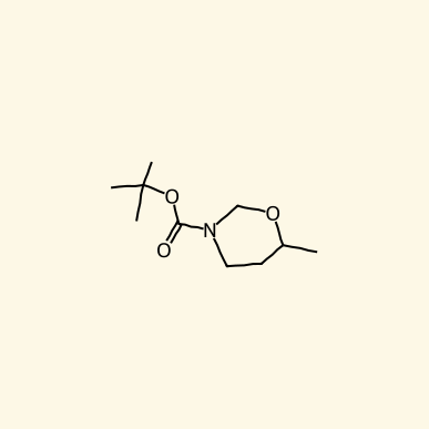 CC1CCN(C(=O)OC(C)(C)C)CO1